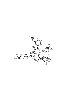 COCC1=CC=CC2C1N=C(c1nn(COCC[Si](C)(C)C)c3ncc(B4OC(C)(C)C(C)(C)O4)cc13)N2COCC[Si](C)(C)C